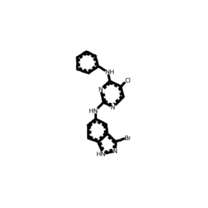 Clc1cnc(Nc2ccc3[nH]nc(Br)c3c2)nc1Nc1[c]cccc1